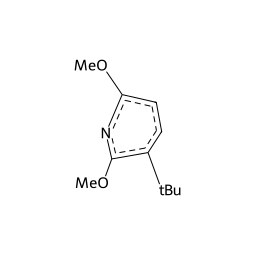 COc1ccc(C(C)(C)C)c(OC)n1